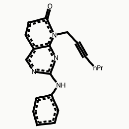 CCCC#CCn1c(=O)ccc2cnc(Nc3ccccc3)nc21